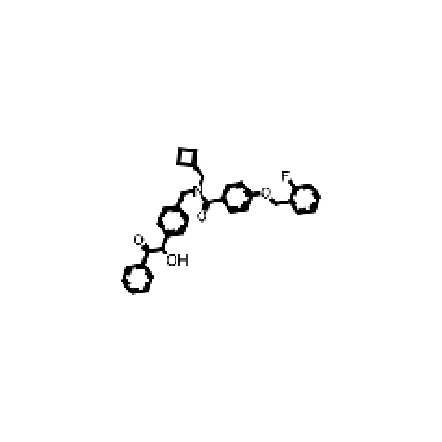 O=C(c1ccccc1)C(O)c1ccc(CN(CC2CCC2)C(=O)c2ccc(OCc3ccccc3F)cc2)cc1